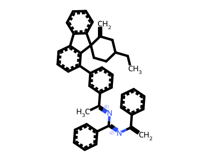 C=C(/N=C(\N=C(/C)c1cccc(-c2cccc3c2C2(CCC(CC)CC2=C)c2ccccc2-3)c1)c1ccccc1)c1ccccc1